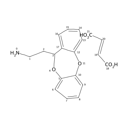 NCCC1Oc2ccccc2Oc2ccccc21.O=C(O)C=CC(=O)O